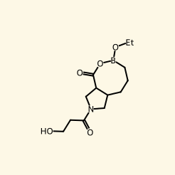 CCOB1CCCC2CN(C(=O)CCO)CC2C(=O)O1